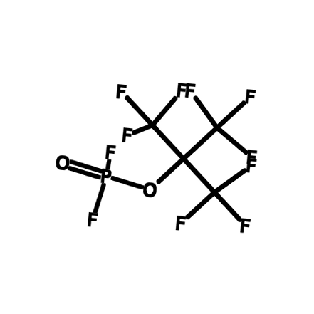 O=P(F)(F)OC(C(F)(F)F)(C(F)(F)F)C(F)(F)F